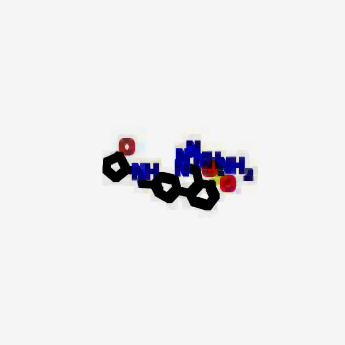 NS(=O)(=O)c1cccc(-c2ccc(CNC3CCCC3=O)cc2)c1-c1nnn[nH]1